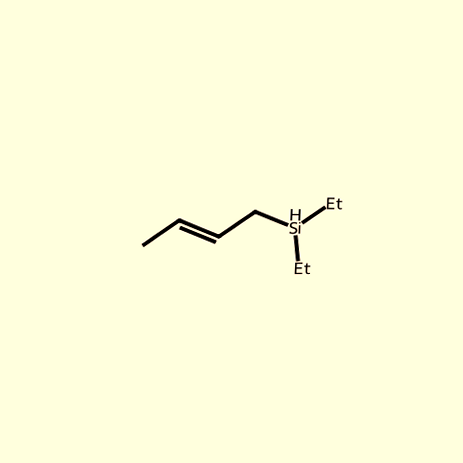 C/C=C/C[SiH](CC)CC